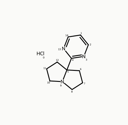 Cl.c1cnc(C23CCCN2CCC3)nc1